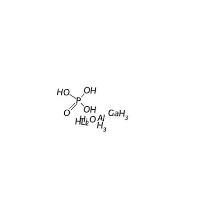 O.O=P(O)(O)O.[AlH3].[GaH3].[LiH]